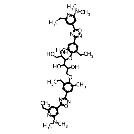 CCc1cc(-c2nc(-c3cc(C)c(OCC(O)C(O)C(Oc4c(C)cc(-c5noc(-c6cc(CC)nc(N(C)C)c6)n5)cc4CC)C(O)CO)c(CC)c3)no2)cc(N(C)C)n1